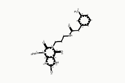 CCCCCn1c(=O)n(CCCNC(=O)Cc2cccc(C)c2)c(=O)c2[nH]c(Cl)nc21